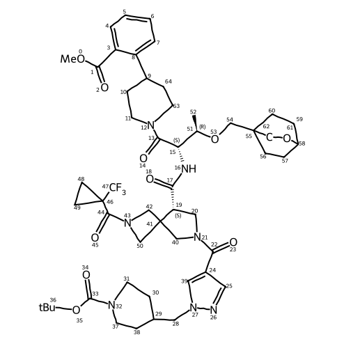 COC(=O)c1ccccc1C1CCN(C(=O)[C@@H](NC(=O)[C@@H]2CN(C(=O)c3cnn(CC4CCN(C(=O)OC(C)(C)C)CC4)c3)CC23CN(C(=O)C2(C(F)(F)F)CC2)C3)[C@@H](C)OCC23CCC(CC2)OC3)CC1